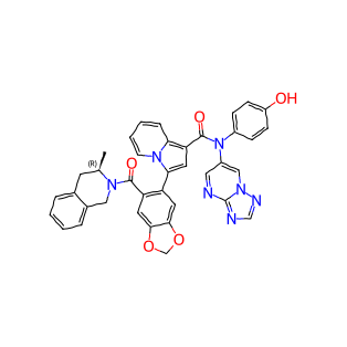 C[C@@H]1Cc2ccccc2CN1C(=O)c1cc2c(cc1-c1cc(C(=O)N(c3ccc(O)cc3)c3cnc4ncnn4c3)c3ccccn13)OCO2